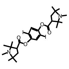 CN1C(C)(C)CC(C(=O)Oc2cc(I)c(OC(=O)C3CC(C)(C)N(C)C3(C)C)cc2I)C1(C)C